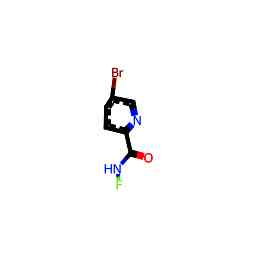 O=C(NF)c1ccc(Br)cn1